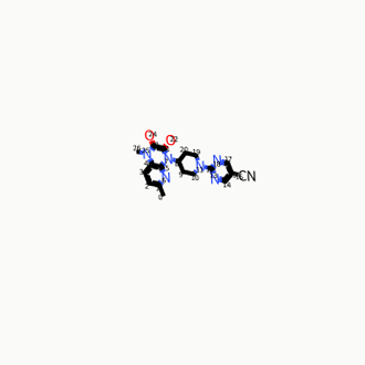 Cc1ccc2c(n1)n(C1CCN(c3ncc(C#N)cn3)CC1)c(=O)c(=O)n2C